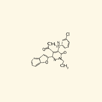 CCn1nc(-c2cc3ccccc3o2)c(C(C)=O)c(Nc2cccc(Cl)c2)c1=O